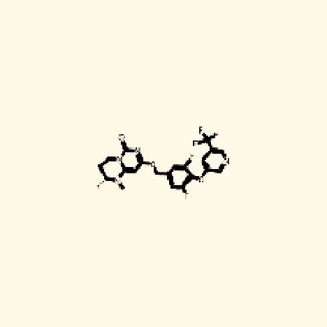 C[C@@H]1CCn2c(cc(OCc3cc(F)c(Oc4cncc(C(F)(F)F)c4)c(F)c3)nc2=O)N1C